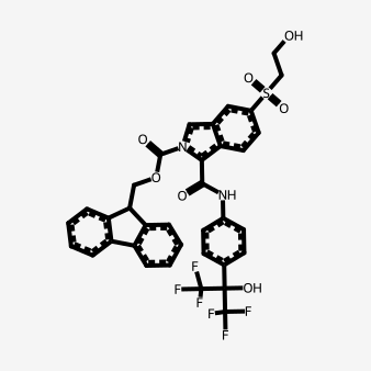 O=C(Nc1ccc(C(O)(C(F)(F)F)C(F)(F)F)cc1)c1c2ccc(S(=O)(=O)CCO)cc2cn1C(=O)OCC1c2ccccc2-c2ccccc21